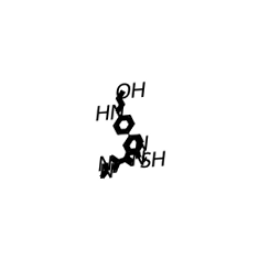 Cn1cc(-c2cn(S)c3ncc([C@H]4CC[C@H](NCCO)CC4)cc23)cn1